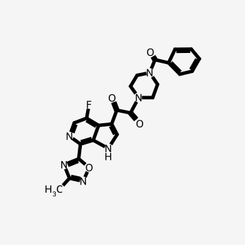 Cc1noc(-c2ncc(F)c3c(C(=O)C(=O)N4CCN(C(=O)c5ccccc5)CC4)c[nH]c23)n1